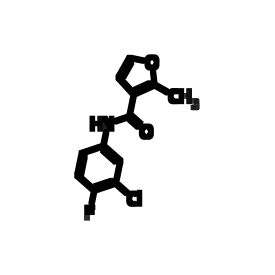 Cc1occc1C(=O)Nc1ccc(F)c(Cl)c1